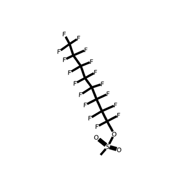 CS(=O)(=O)OC(F)(F)C(F)(F)C(F)(F)C(F)(F)C(F)(F)C(F)(F)C(F)(F)C(F)(F)F